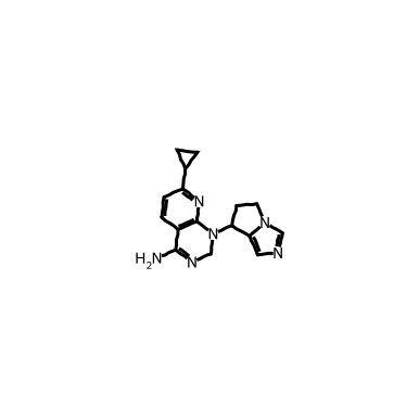 NC1=NCN(C2CCn3cncc32)c2nc(C3CC3)ccc21